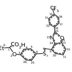 CCC(Oc1ccc(SCc2cccc3oc(-c4ccc(C(F)(F)F)cc4)nc23)cc1)C(=O)O